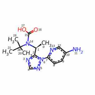 C[C@@H](c1ncnn1-c1ccc(N)cn1)N(C(=O)O)C(C)(C)C